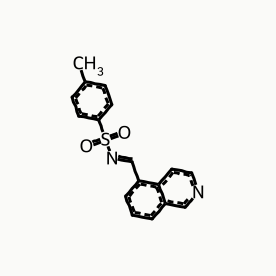 Cc1ccc(S(=O)(=O)/N=C/c2cccc3cnccc23)cc1